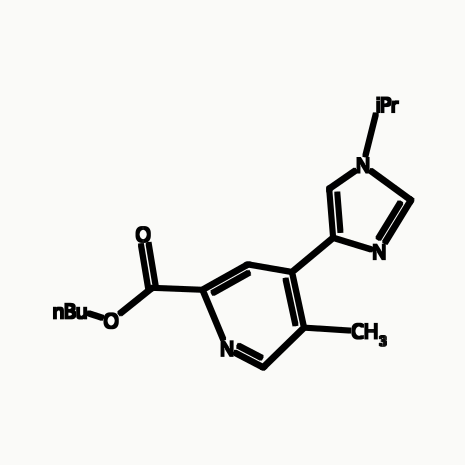 CCCCOC(=O)c1cc(-c2cn(C(C)C)cn2)c(C)cn1